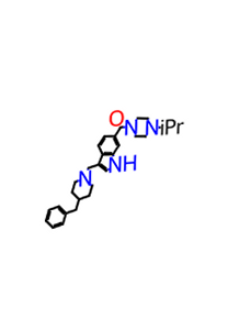 CC(C)N1CCN(C(=O)c2ccc3c(CN4CCC(Cc5ccccc5)CC4)c[nH]c3c2)CC1